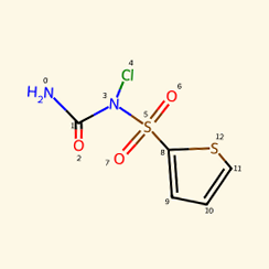 NC(=O)N(Cl)S(=O)(=O)c1cccs1